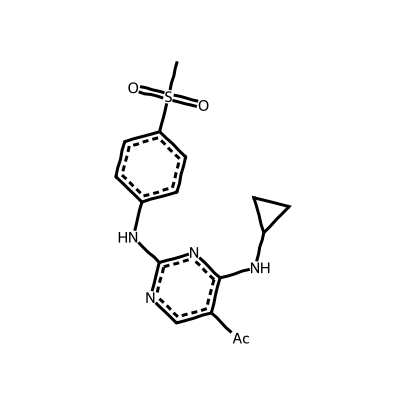 CC(=O)c1cnc(Nc2ccc(S(C)(=O)=O)cc2)nc1NC1CC1